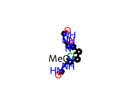 COc1nc(-c2cccc(-c3cccc(-c4ccn5c(=O)c(CNC[C@H]6CCC(=O)N6)cnc5c4)c3C)c2Cl)ccc1CNC[C@H]1CCC(=O)N1